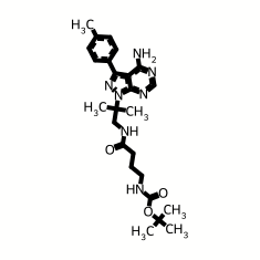 Cc1ccc(-c2nn(C(C)(C)CNC(=O)CCCNC(=O)OC(C)(C)C)c3ncnc(N)c23)cc1